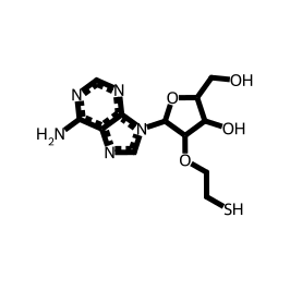 Nc1ncnc2c1ncn2C1OC(CO)C(O)C1OCCS